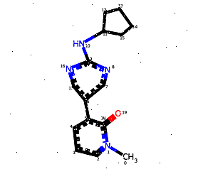 Cn1cccc(-c2cnc(NC3CCCC3)nc2)c1=O